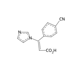 N#Cc1ccc(/C(=C\C(=O)O)n2ccnc2)cc1